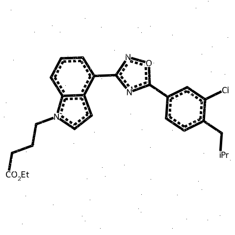 CCOC(=O)CCCn1ccc2c(-c3noc(-c4ccc(CC(C)C)c(Cl)c4)n3)cccc21